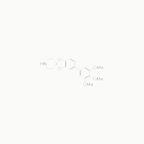 COc1cc(-c2ccc3c(c2)OC2(CCNCC2)O3)cc(OC)c1OC